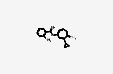 C=C1CC=C=C(NC(=N)c2ccccc2N)C=C1C1CC1